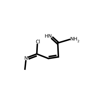 C/N=C(Cl)\C=C/C(=N)N